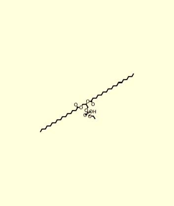 CCCCC/C=C/CCCCCCCCCCC(=O)OC(COC(=O)CCCCCCCCCCCCCCC)COP(=O)(O)OCC